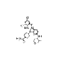 CC1COCCC1Nc1ncc2nc(Nc3c(F)cc(Cl)cc3Cl)n([C@H]3CC[C@H](C(N)=O)CC3)c2n1